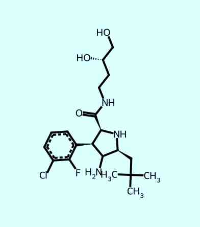 CC(C)(C)C[C@@H]1N[C@H](C(=O)NCC[C@H](O)CO)[C@H](c2cccc(Cl)c2F)C1N